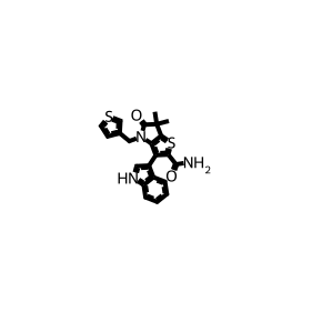 CC1(C)C(=O)N(Cc2ccsc2)c2c1sc(C(N)=O)c2-c1c[nH]c2ccccc12